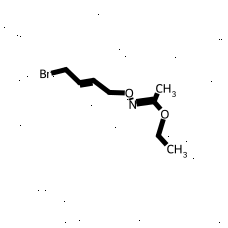 CCOC(C)=NOCC=CCBr